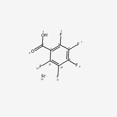 O=C(O)c1c(F)c(F)c(F)c(F)c1F.[Sc]